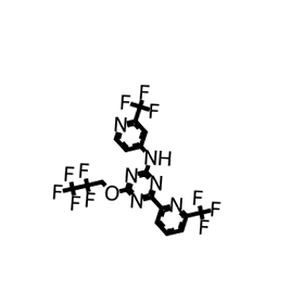 FC(F)(F)c1cc(Nc2nc(OCC(F)(F)C(F)(F)F)nc(-c3cccc(C(F)(F)F)n3)n2)ccn1